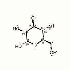 OC[C@H]1O[C@H](O)[C@H](O)[C@@H](O)[C@@H]1S